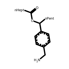 CCCCCCCC(=O)OC(CCCCC)c1ccc(CN)cc1